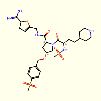 CS(=O)(=O)N[C@H](CCC1CCNCC1)C(=O)N1C[C@H](OCc2ccc(S(C)(=O)=O)cc2)C[C@H]1C(=O)NCC1=CCC(C(=N)N)S1